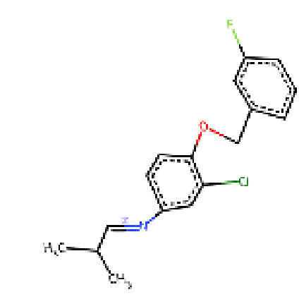 CC(C)/C=N/c1ccc(OCc2cccc(F)c2)c(Cl)c1